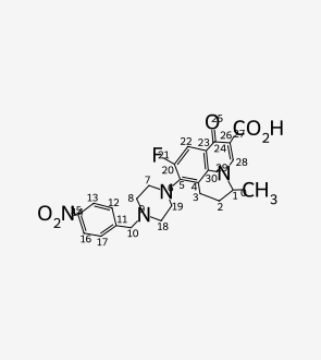 CC1CCc2c(N3CCN(Cc4ccc([N+](=O)[O-])cc4)CC3)c(F)cc3c(=O)c(C(=O)O)cn1c23